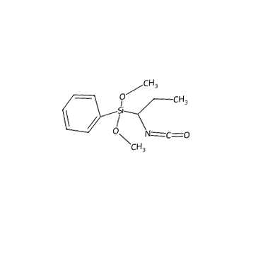 CCC(N=C=O)[Si](OC)(OC)c1ccccc1